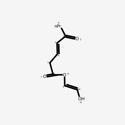 CCCC(=O)C=CCC(=O)OC=CO